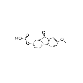 COc1ccc2c(c1)C(=O)c1cc(OC(=O)O)ccc1-2